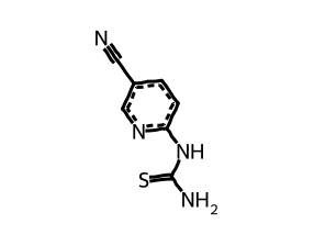 N#Cc1ccc(NC(N)=S)nc1